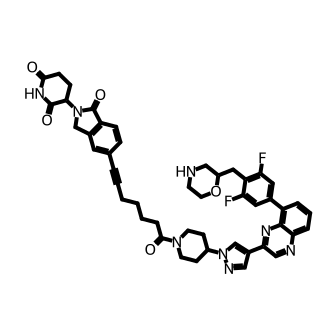 O=C1CCC(N2Cc3cc(C#CCCCCC(=O)N4CCC(n5cc(-c6cnc7cccc(-c8cc(F)c(CC9CNCCO9)c(F)c8)c7n6)cn5)CC4)ccc3C2=O)C(=O)N1